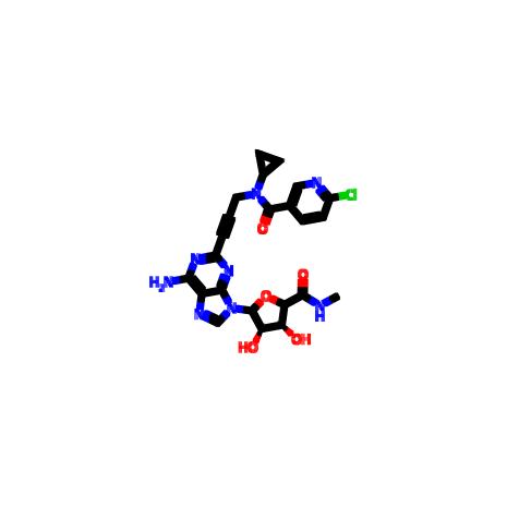 CNC(=O)C1OC(n2cnc3c(N)nc(C#CCN(C(=O)c4ccc(Cl)nc4)C4CC4)nc32)[C@H](O)[C@@H]1O